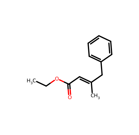 CCOC(=O)C=C(C)Cc1ccccc1